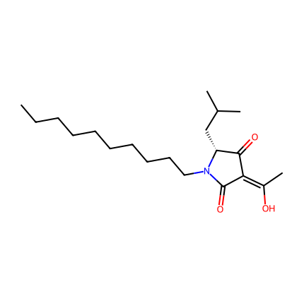 CCCCCCCCCCN1C(=O)/C(=C(/C)O)C(=O)[C@H]1CC(C)C